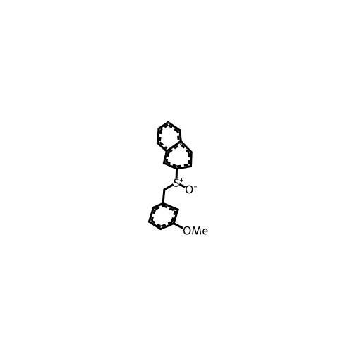 COc1cccc(C[S+]([O-])c2ccc3ccccc3c2)c1